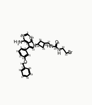 Nc1ncnc2c1c(-c1cccc(OCc3ccccc3)c1)cn2C1CC(CNC(=O)NCCBr)C1